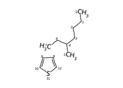 CCCCC(C)CC.c1ccsc1